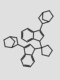 C1=C(C2CC3CCC2C3)c2ccccc2C1C1(C2C=C(C3CC4CCC3C4)c3ccccc32)CCCC1